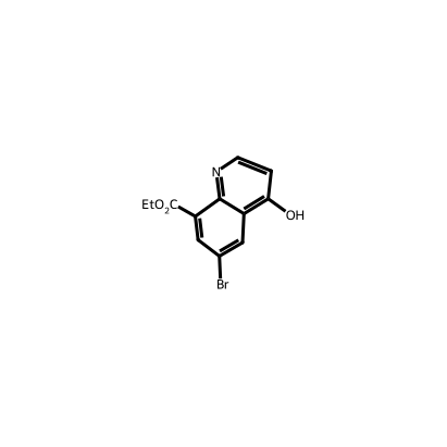 CCOC(=O)c1cc(Br)cc2c(O)ccnc12